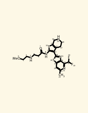 COCCNCCC(=O)Nc1sc2c(c1-c1nc3c(C(F)F)nc(C)cc3s1)CCNC2